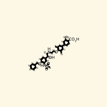 Cc1cc(-c2ccc(C(=O)O)c(C(C)C)c2)cc(C)c1OCCN[C@@H](C)[C@@H](O)c1ccc(OCc2ccccc2)c(NS(C)(=O)=O)c1